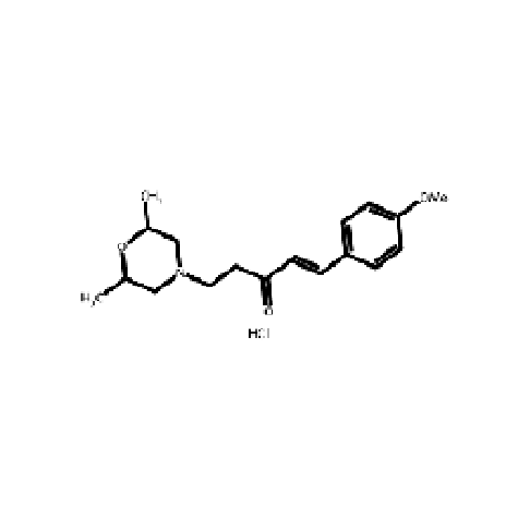 COc1ccc(C=CC(=O)CCN2CC(C)OC(C)C2)cc1.Cl